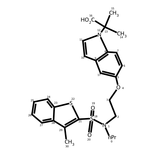 CCCN(CCOc1ccc2c(ccn2C(C)(C)C(=O)O)c1)S(=O)(=O)c1sc2ccccc2c1C